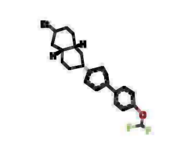 CCC1CC[C@@H]2C[C@H](c3ccc(-c4ccc(OC(F)F)cc4)cc3)CC[C@@H]2C1